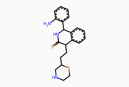 Nc1ccccc1C1NC(=S)C(CCC2CNCCS2)c2ccccc21